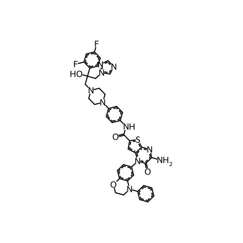 Nc1nc2sc(C(=O)Nc3ccc(N4CCN(CC(O)(Cn5cncn5)c5ccc(F)cc5F)CC4)cc3)cc2n(-c2ccc3c(c2)N(c2ccccc2)CCO3)c1=O